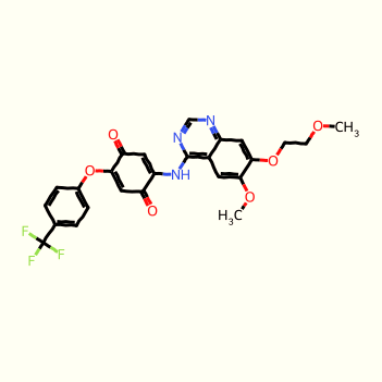 COCCOc1cc2ncnc(NC3=CC(=O)C(Oc4ccc(C(F)(F)F)cc4)=CC3=O)c2cc1OC